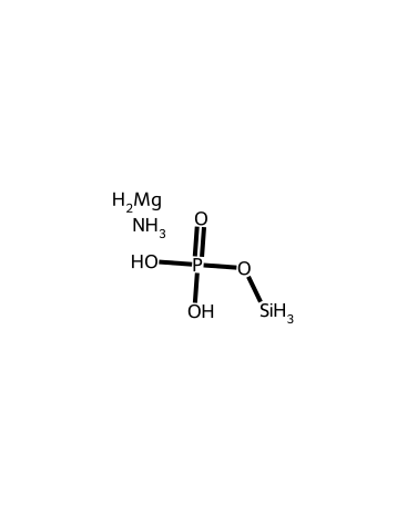 N.O=P(O)(O)O[SiH3].[MgH2]